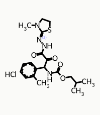 Cc1ccccc1C(NC(=O)OCC(C)C)C(=O)C(=O)N/N=C1\SCCN1C.Cl